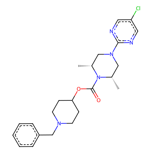 C[C@@H]1CN(c2ncc(Cl)cn2)C[C@H](C)N1C(=O)OC1CCN(Cc2ccccc2)CC1